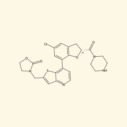 O=C1OCCN1Cc1cc2nccc(-c3cc(Cl)cc4c3O[C@@H](C(=O)N3CCNCC3)C4)c2s1